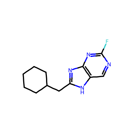 Fc1ncc2[nH]c(CC3CCCCC3)nc2n1